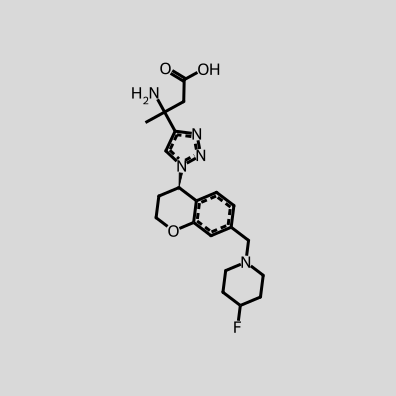 CC(N)(CC(=O)O)c1cn([C@@H]2CCOc3cc(CN4CCC(F)CC4)ccc32)nn1